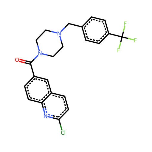 O=C(c1ccc2nc(Cl)ccc2c1)N1CCN(Cc2ccc(C(F)(F)F)cc2)CC1